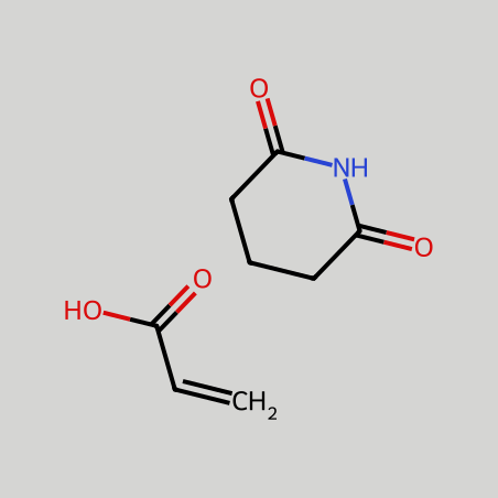 C=CC(=O)O.O=C1CCCC(=O)N1